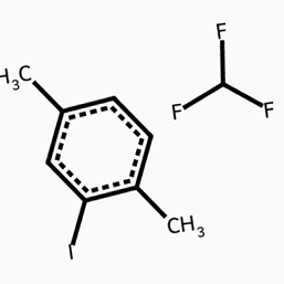 Cc1ccc(C)c(I)c1.FC(F)F